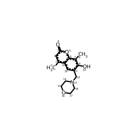 Cc1cc(=O)oc2c(C)c(O)c(CN3CCOCC3)cc12